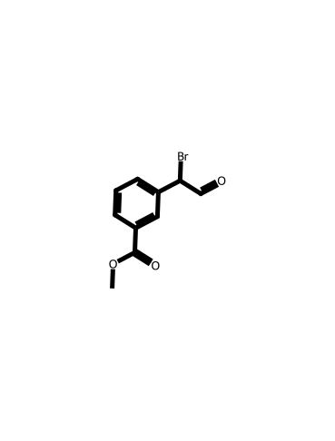 COC(=O)c1cccc(C(Br)C=O)c1